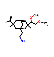 C=C(C)C1(C)CC2=CC(C)(C(CO[N+](=O)[O-])O[N+](=O)[O-])CC(CCN)(C2)C1